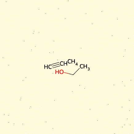 C.C#C.CCO